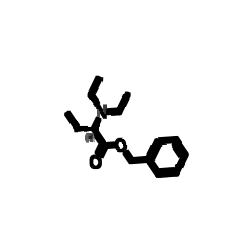 CC[C@H](C(=O)OCc1ccccc1)N(CC)CC